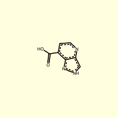 O=C(O)c1ccnc2c[nH]nc12